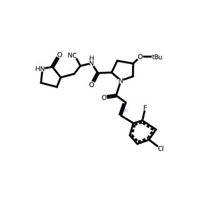 CC(C)(C)OC1CC(C(=O)NC(C#N)CC2CCNC2=O)N(C(=O)/C=C/c2ccc(Cl)cc2F)C1